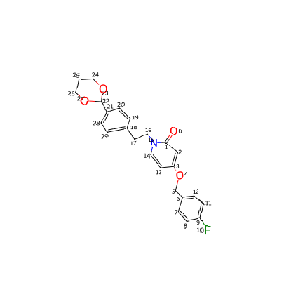 O=c1cc(OCc2ccc(F)cc2)ccn1CCc1ccc(C2OCCCO2)cc1